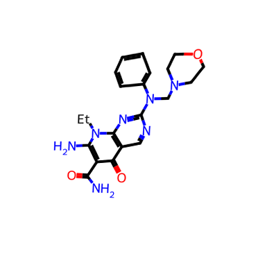 CCn1c(N)c(C(N)=O)c(=O)c2cnc(N(CN3CCOCC3)c3ccccc3)nc21